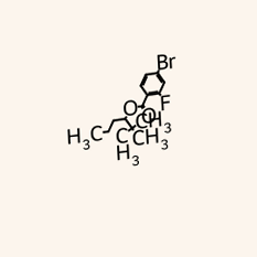 CCCC(OC(=O)c1ccc(Br)cc1F)C(C)(C)C